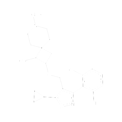 CC(C)(C)C1C(OCc2c(-c3c(Cl)cccc3Cl)noc2C2CC2)CC12CCN([C]=O)CC2